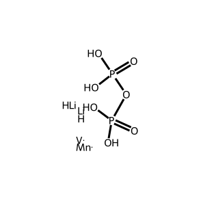 O=P(O)(O)OP(=O)(O)O.[LiH].[LiH].[Mn].[V]